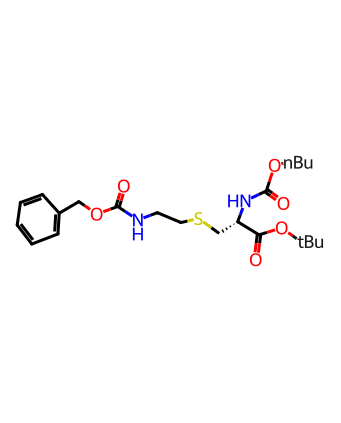 CCCCOC(=O)N[C@@H](CSCCNC(=O)OCc1ccccc1)C(=O)OC(C)(C)C